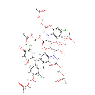 CC(=O)OCOC(=O)CN(CC(=O)OCOC(C)=O)c1ccc(F)cc1OCCOc1cc(-c2c3cc(F)c(=O)cc-3oc3cc(OCOC(C)=O)c(F)cc23)c(C)cc1N(CC(=O)OCOC(C)=O)CC(=O)OCOC(C)=O